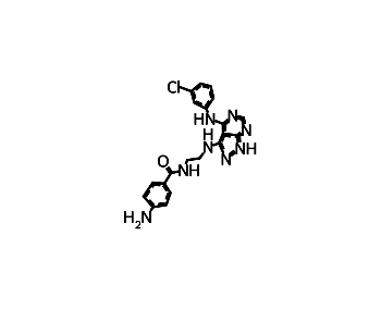 Nc1ccc(C(=O)NCCNc2n[nH]c3ncnc(Nc4cccc(Cl)c4)c23)cc1